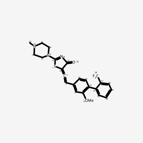 COc1cc(C=C=C2SC(N3CCN(C)CC3)=NC2=O)ccc1-c1ccccc1C(F)(F)F